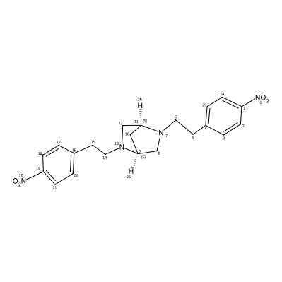 O=[N+]([O-])c1ccc(CCN2C[C@@H]3C[C@H]2CN3CCc2ccc([N+](=O)[O-])cc2)cc1